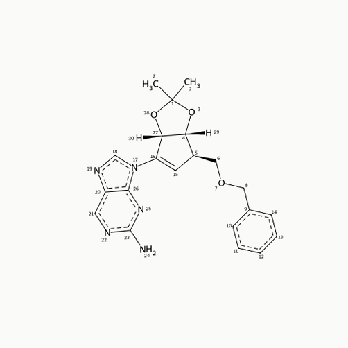 CC1(C)O[C@@H]2[C@@H](COCc3ccccc3)C=C(n3cnc4cnc(N)nc43)[C@@H]2O1